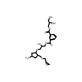 CC1CC(COCC2CO2)C(OCC(O)COC(=O)c2cccc(C(=O)OCC(O)CO)c2)C1